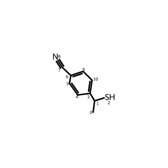 CC(S)c1ccc(C#N)cc1